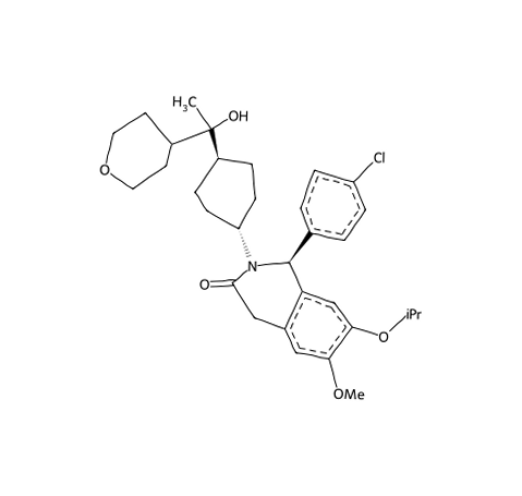 COc1cc2c(cc1OC(C)C)[C@H](c1ccc(Cl)cc1)N([C@H]1CC[C@H](C(C)(O)C3CCOCC3)CC1)C(=O)C2